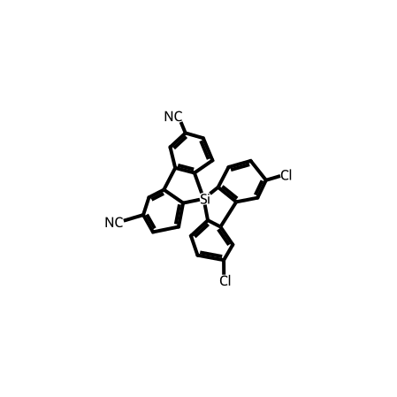 N#Cc1ccc2c(c1)-c1cc(C#N)ccc1[Si]21c2ccc(Cl)cc2-c2cc(Cl)ccc21